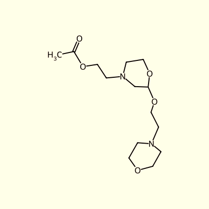 CC(=O)OCCN1CCOC(OCCN2CCOCC2)C1